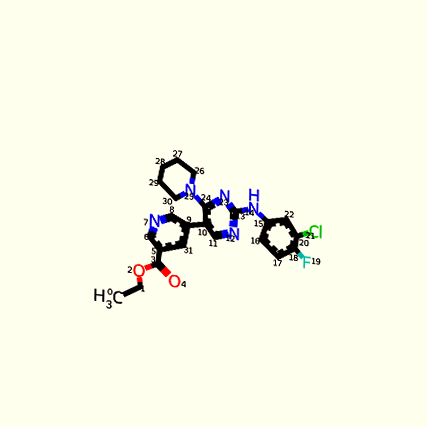 CCOC(=O)c1cncc(-c2cnc(Nc3ccc(F)c(Cl)c3)nc2N2CCCCC2)c1